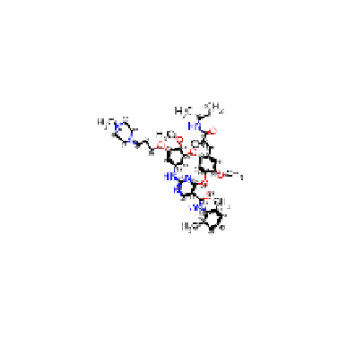 CC[C@@H](C)NC(=O)CCc1ccc(Oc2nc(Nc3cc(OC)c(OC)c(OCCCN4CCN(C)CC4)c3)ncc2C(=O)Nc2c(C)cccc2C)c(OC)c1